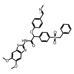 C/N=C/c1ccc(OC(C(=O)Nc2nc3cc(OC)c(OC)cc3s2)c2ccc(S(=O)(=O)Cc3ccccc3)cc2)cc1